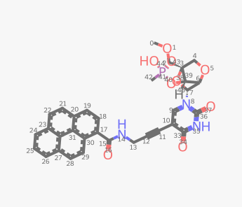 COC[C@]12COC([C@H](n3cc(C#CCNC(=O)c4ccc5ccc6cccc7ccc4c5c67)c(=O)[nH]c3=O)O1)[C@@H]2OP(C)(=O)O